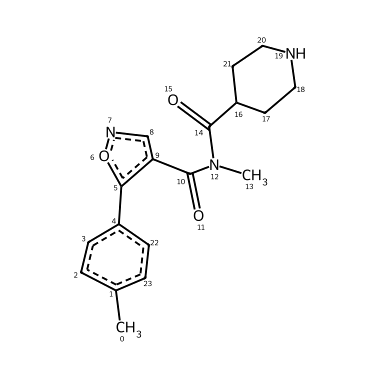 Cc1ccc(-c2oncc2C(=O)N(C)C(=O)C2CCNCC2)cc1